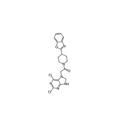 O=C(CN1CNc2nc(Cl)nc(Cl)c21)N1CCC(c2nc3ccccc3o2)CC1